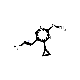 C/C=C/c1cnc(OC)nc1C1CC1